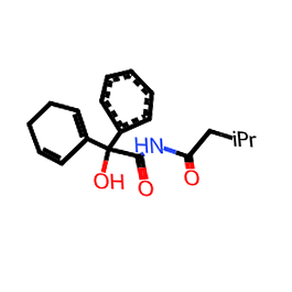 CC(C)CC(=O)NC(=O)C(O)(C1=CCCC=C1)c1ccccc1